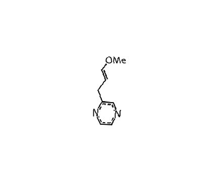 COC=CCc1cnccn1